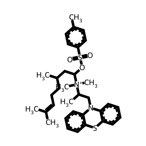 CC(C)=CCCC(C)CC(OS(=O)(=O)c1ccc(C)cc1)[N+](C)(C)C(C)CN1c2ccccc2Sc2ccccc21